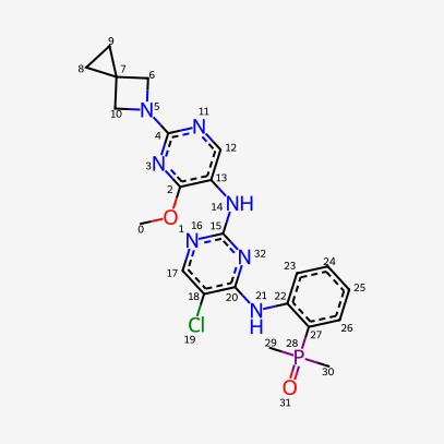 COc1nc(N2CC3(CC3)C2)ncc1Nc1ncc(Cl)c(Nc2ccccc2P(C)(C)=O)n1